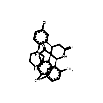 Cc1ccc(F)cc1[C@@H]1NC(=O)C[C@H](c2cc(Cl)ccc2N2CCNCC2)[C@@]12C(=O)Nc1cc(Cl)ccc12